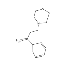 C=C(CCN1CCSCC1)c1ccccc1